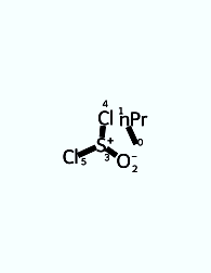 CCCC.[O-][S+](Cl)Cl